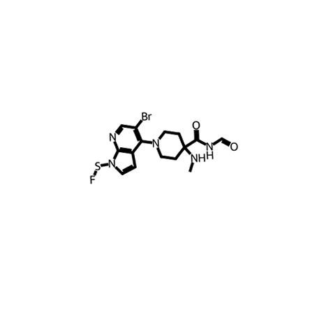 CNC1(C(=O)NC=O)CCN(c2c(Br)cnc3c2ccn3SF)CC1